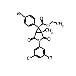 CCOC(=O)[C@]1(c2ccc(Br)cc2)C2C(=O)N(c3cc(Cl)cc(Cl)c3)C(=O)[C@]21C